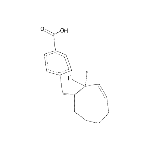 O=C(O)c1ccc(C[C@H]2CCCC/C=C\C2(F)F)cc1